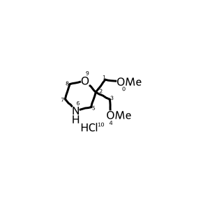 COCC1(COC)CNCCO1.Cl